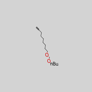 C#CCCCCCCCOCOCCCC